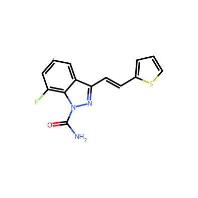 NC(=O)n1nc(/C=C/c2cccs2)c2c[c]cc(F)c21